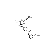 COc1cccc(NC(=O)C2CCC(n3cnc4c(N)nc(C#CC(C)(C)C)nc43)CC2)c1